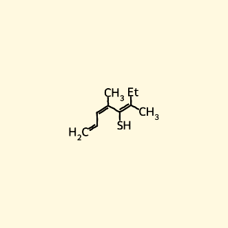 C=C/C=C(C)\C(S)=C(\C)CC